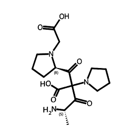 C[C@H](N)C(=O)C(C(=O)O)(C(=O)[C@H]1CCCN1CC(=O)O)N1CCCC1